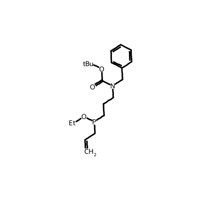 C=CCP(CCCN(Cc1ccccc1)C(=O)OC(C)(C)C)OCC